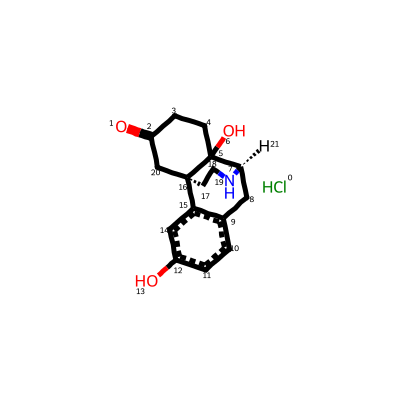 Cl.O=C1CCC2(O)[C@H]3Cc4ccc(O)cc4[C@@]2(CCN3)C1